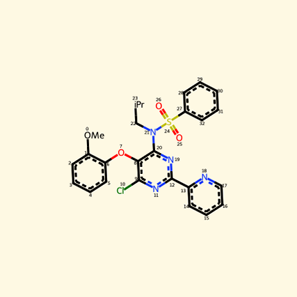 COc1ccccc1Oc1c(Cl)nc(-c2ccccn2)nc1N(CC(C)C)S(=O)(=O)c1ccccc1